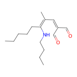 CCCCC/C(NCCCC)=C(\C)C=C(C=O)C=O